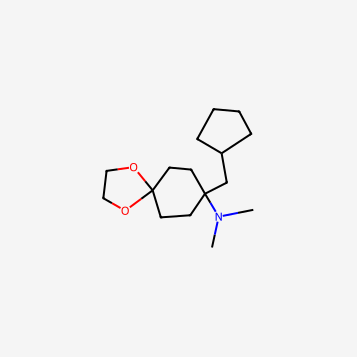 CN(C)C1(CC2CCCC2)CCC2(CC1)OCCO2